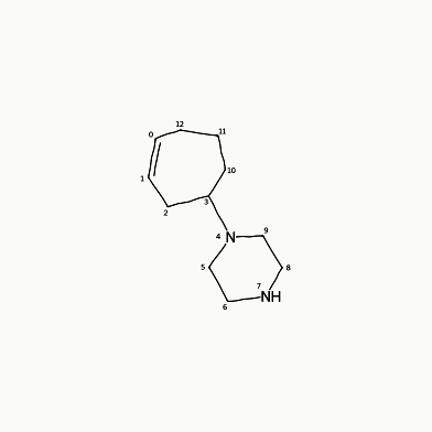 C1=CCC(N2CCNCC2)CCC1